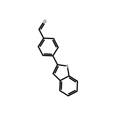 O=Cc1ccc(-c2cc3ccccc3s2)cc1